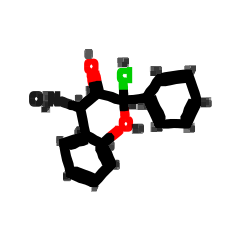 O=C1C([N+](=O)[O-])c2ccccc2OC1(Cl)c1ccccc1